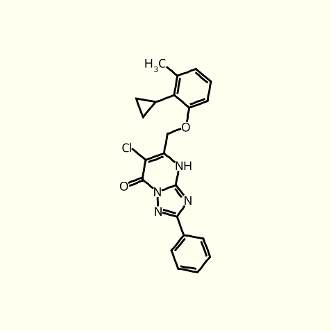 Cc1cccc(OCc2[nH]c3nc(-c4ccccc4)nn3c(=O)c2Cl)c1C1CC1